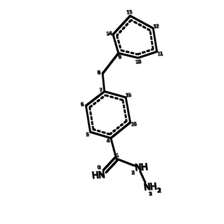 N=C(NN)c1ccc(Cc2ccccc2)cc1